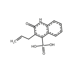 C=CCc1c(P(=O)(O)O)c2ccccc2[nH]c1=O